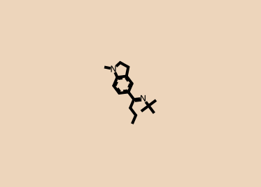 CCCC(=NC(C)(C)C)c1ccc2c(c1)CCN2C